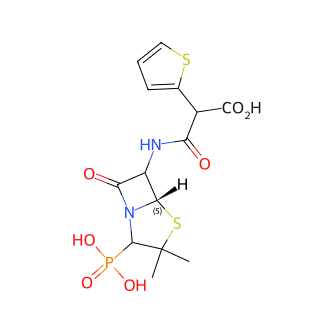 CC1(C)S[C@H]2C(NC(=O)C(C(=O)O)c3cccs3)C(=O)N2C1P(=O)(O)O